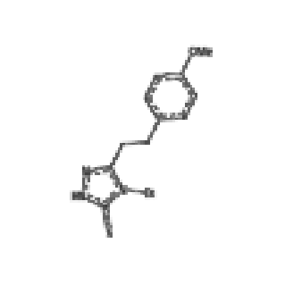 CCn1c(CCc2ccc(OC)cc2)n[nH]c1=S